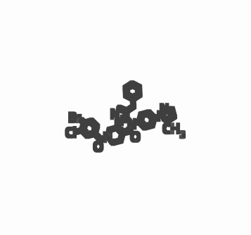 Cc1ccnn1-c1ccc(-n2c(=O)c3c(n4ncc(Cc5ccccc5)c24)CN(C(=O)c2ccc(Br)c(Cl)c2)CC3)cc1